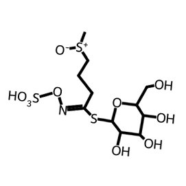 C[S+]([O-])CCC/C(=N\OS(=O)(=O)O)SC1OC(CO)C(O)C(O)C1O